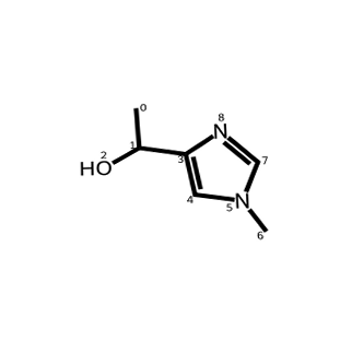 CC(O)c1cn(C)cn1